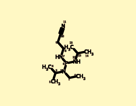 CCN(C(C)C)P(NCCC#N)NC(C)C